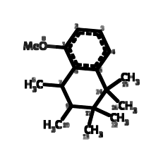 COc1cccc2c1C(C)C(C)C(C)(C)C2(C)C